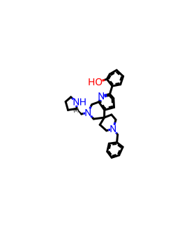 Oc1ccccc1-c1ccc2c(n1)CN(C[C@H]1CCCN1)CC21CCN(Cc2ccccc2)CC1